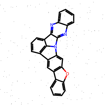 c1ccc2nc3c(nc2c1)c1cccc2c4cc5c(cc4n3c21)oc1ccccc15